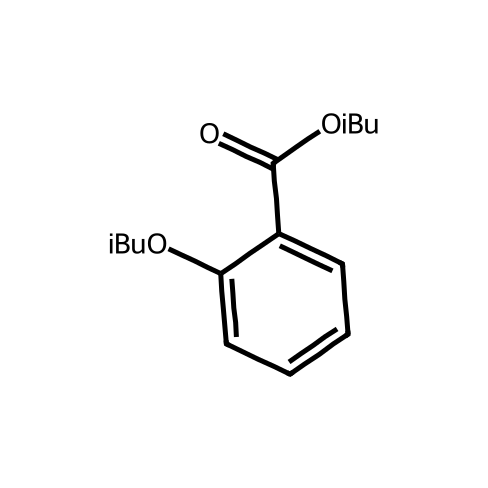 CC(C)COC(=O)c1ccccc1OCC(C)C